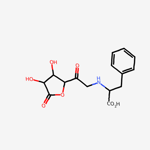 O=C(O)C(Cc1ccccc1)NCC(=O)C1OC(=O)C(O)C1O